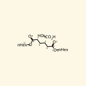 CCCCCCOC(=O)CCCCC(=O)OCCCCCC.O=C(O)O